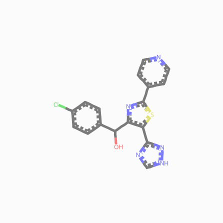 OC(c1ccc(Cl)cc1)c1nc(-c2ccncc2)sc1-c1nc[nH]n1